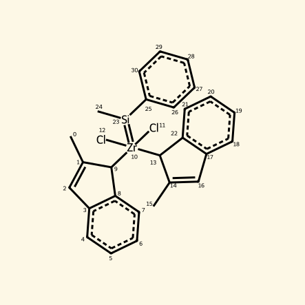 CC1=Cc2ccccc2[CH]1[Zr]([Cl])([Cl])([CH]1C(C)=Cc2ccccc21)=[Si](C)c1ccccc1